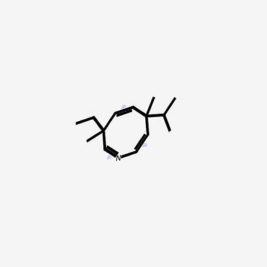 CCC1(C)/C=C\C(C)(C(C)C)/C=C\N=C/1